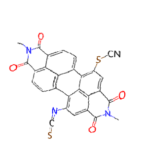 CN1C(=O)c2ccc3c4c(N=C=S)cc5c6c(cc(SC#N)c(c7ccc(c2c37)C1=O)c64)C(=O)N(C)C5=O